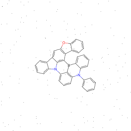 c1ccc(N2c3ccccc3B3c4c2cccc4-n2c4ccccc4c4cc5oc6ccccc6c5c3c42)cc1